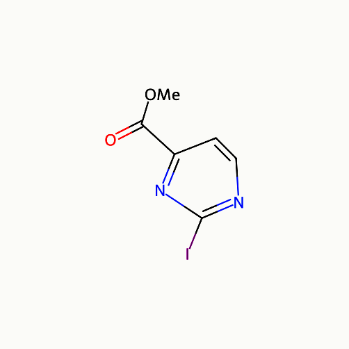 COC(=O)c1ccnc(I)n1